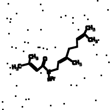 CCCN(C/C=C(\C)CCC=C(C)C)C(=O)C=C(C)C